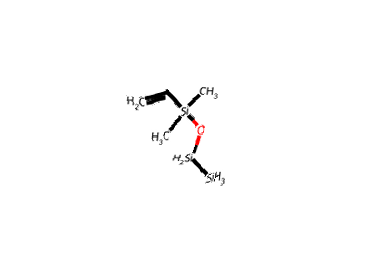 C=C[Si](C)(C)O[SiH2][SiH3]